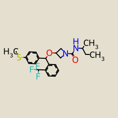 CCC(C)NC(=O)N1CC(OC(c2ccc(SC)cc2)c2ccccc2C(F)(F)F)C1